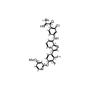 CCc1cc(Nc2cccn3c(-c4ccc(Oc5cc(OC)ccn5)c(F)c4F)cnc23)ccc1C(=O)C(=N)[C@@H](C)CC